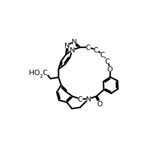 O=C(O)CC1c2ccc3c(c2)CN(CC3)C(=O)c2cccc(c2)OCCCCc2nnc3cc1ccn23